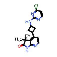 CC1(C)C(=O)Nc2nccc(C3CC(Nc4nccc(Cl)n4)C3)c21